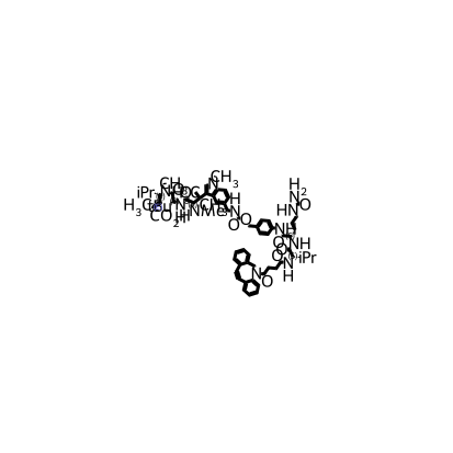 CN[C@@H](C(=O)N[C@H](C(=O)N(C)[C@H](/C=C(\C)C(=O)O)C(C)C)C(C)(C)C)C(C)(C)c1cn(C)c2ccc(CNC(=O)OCc3ccc(NC(=O)[C@H](CCCNC(N)=O)NC(=O)[C@@H](NC(=O)CCC(=O)N4Cc5ccccc5C#Cc5ccccc54)C(C)C)cc3)cc12